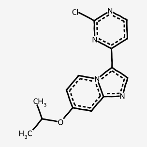 CC(C)Oc1ccn2c(-c3ccnc(Cl)n3)cnc2c1